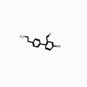 CCCc1ccc(-c2ccc(O)cc2C=O)cc1